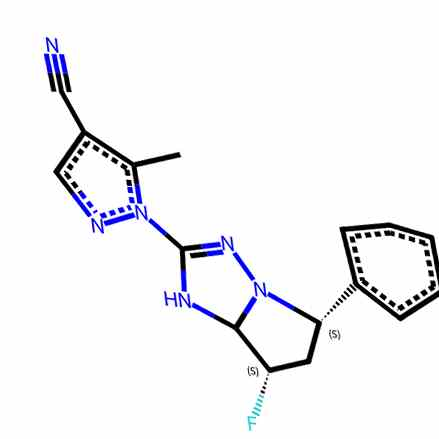 Cc1c(C#N)cnn1C1=NN2C(N1)[C@@H](F)C[C@H]2c1ccccc1